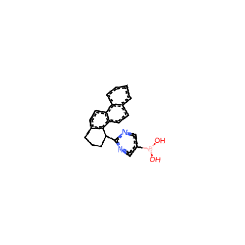 OB(O)c1cnc(C2CCCc3ccc4c(ccc5ccccc54)c32)nc1